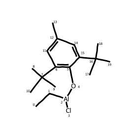 C[CH2][Al]([Cl])[O]c1c(C(C)(C)C)cc(C)cc1C(C)(C)C